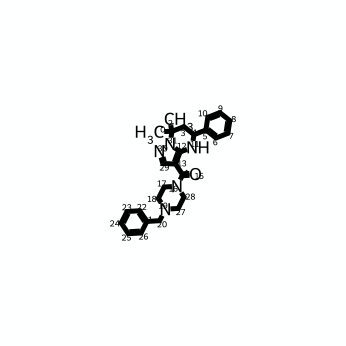 CC1(C)CC(c2ccccc2)Nc2c(C(=O)N3CCN(Cc4ccccc4)CC3)cnn21